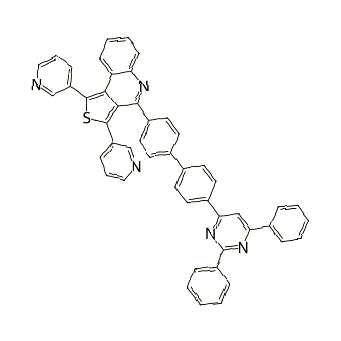 c1ccc(-c2cc(-c3ccc(-c4ccc(-c5nc6ccccc6c6c(-c7cccnc7)sc(-c7cccnc7)c56)cc4)cc3)nc(-c3ccccc3)n2)cc1